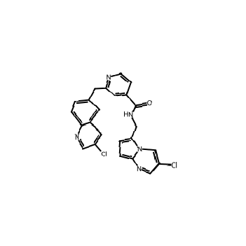 O=C(NCc1ccc2ncc(Cl)cn12)c1ccnc(Cc2ccc3ncc(Cl)cc3c2)c1